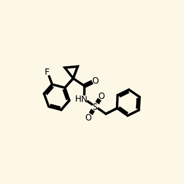 O=C(NS(=O)(=O)Cc1ccccc1)C1(c2ccccc2F)CC1